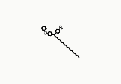 CCCCCCCCCCCCCCCCC[C](c1ccc(Oc2ccccc2)cc1)c1ccc(N(C)C)cc1